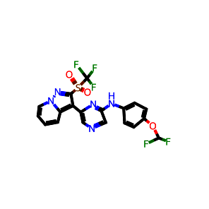 O=S(=O)(c1nn2ccccc2c1-c1cncc(Nc2ccc(OC(F)F)cc2)n1)C(F)(F)F